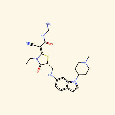 CCN1C(=O)[C@@H](CNc2ccc3ccn(C4CCN(C)CC4)c3c2)S/C1=C(/C#N)C(=O)NCN